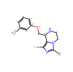 CCc1nc(I)c2n1CCNC2COc1cccc(C(F)(F)F)c1